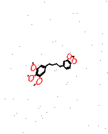 COc1cc(CCCCc2ccc3c(c2)OCO3)cc(OC)c1OC